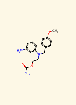 COc1ccc(CN(CCOC(N)=O)c2cccc(N)c2)cc1